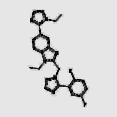 CCn1ccnc1-c1ccc2c(c1)nc(Cn1ccnc1-c1cc(F)ccc1F)n2CC